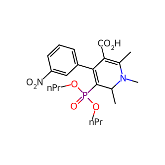 CCCOP(=O)(OCCC)C1=C(c2cccc([N+](=O)[O-])c2)C(C(=O)O)=C(C)N(C)C1C